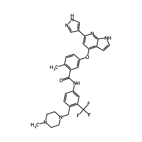 Cc1ccc(Oc2cc(-c3cn[nH]c3)nc3[nH]ccc23)cc1C(=O)Nc1ccc(CN2CCN(C)CC2)c(C(F)(F)F)c1